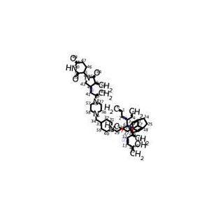 C=C/C=C(C=C)/C(CC)=C(/C(=C)/C=C\C(=C)O)C1C2=C3CCC(=C1CC2)C3CCCN1CCC(CN2CCN(C(=C)/C=C3/CN(C4CCC(=O)NC4=O)C(=O)C3=C)CC2)CC1